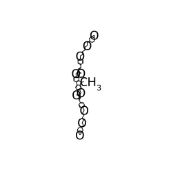 CC1c2cc(OC(=O)/C=C/c3ccc(OCCCCOCC4CCC5OC5C4)cc3)ccc2-c2ccc(OC(=O)/C=C/c3ccc(OCCCCOCC4CCC5OC5C4)cc3)cc21